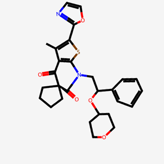 Cc1c(-c2ncco2)sc2c1C(=O)C1(CCCC1)C(=O)N2CC(OC1CCOCC1)c1ccccc1